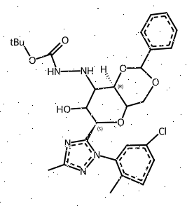 Cc1nc([C@@H]2OC3COC(c4ccccc4)O[C@@H]3C(NNC(=O)OC(C)(C)C)C2O)n(-c2cc(Cl)ccc2C)n1